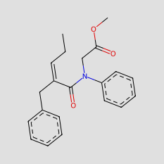 CCC=C(Cc1ccccc1)C(=O)N(CC(=O)OC)c1ccccc1